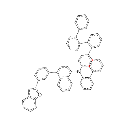 c1ccc(-c2ccccc2-c2ccccc2-c2ccc(N(c3ccccc3-c3ccccc3)c3ccc(-c4cccc(-c5cc6ccccc6o5)c4)c4ccccc34)cc2)cc1